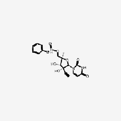 C#C[C@]1(O)[C@H](n2ccc(=O)[nH]c2=O)O[C@](F)(CO[PH](=O)Oc2ccccc2)[C@H]1O